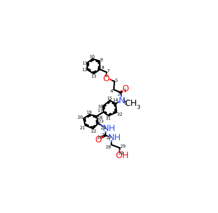 CN(C(=O)CCOCc1ccccc1)c1ccc(-c2ccccc2NC(=O)NCCO)cc1